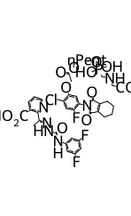 C/C(=N\NC(=O)Nc1cc(F)cc(F)c1)c1ncccc1C(=O)O.CCCCCOC(=O)COc1cc(N2C(=O)C3=C(CCCC3)C2=O)c(F)cc1Cl.O=C(O)CNCP(=O)(O)O